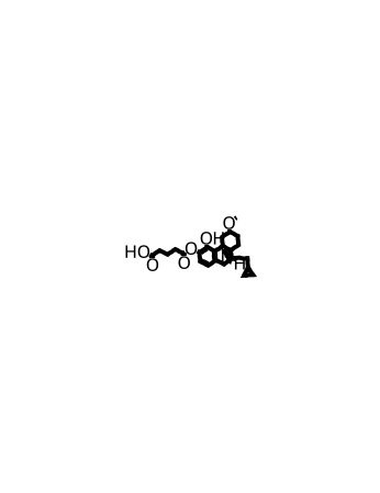 COC1CCC2[C@H]3Cc4ccc(OC(=O)CCCC(=O)O)c(O)c4[C@@]2(CCN3CC2CC2)C1